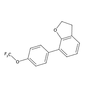 FC(F)(F)Oc1ccc(-c2cccc3c2OCC3)cc1